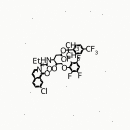 CC[C@@H](C(=O)NC(CC(=O)OC(C)(C)c1ccc(C(F)(F)F)cc1)C(=O)COc1c(F)c(F)cc(F)c1F)n1ccc2ccc(Cl)cc2c1=O